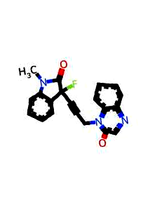 CN1C(=O)C(F)(C#CCn2c(=O)cnc3ccccc32)c2ccccc21